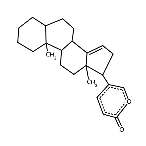 CC12CCC3C(CCC4C[CH]CCC43C)C1=CCC2c1ccc(=O)oc1